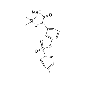 COC(=O)C(O[Si](C)(C)C)c1cccc(OS(=O)(=O)c2ccc(C)cc2)c1